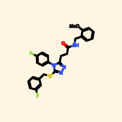 COc1ccccc1CNC(=O)CCc1nnc(SCc2cccc(F)c2)n1-c1ccc(F)cc1